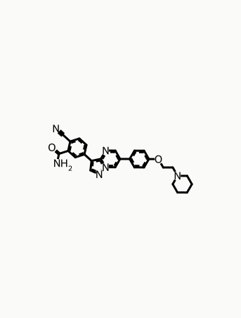 N#Cc1ccc(-c2cnn3cc(-c4ccc(OCCN5CCCCC5)cc4)cnc23)cc1C(N)=O